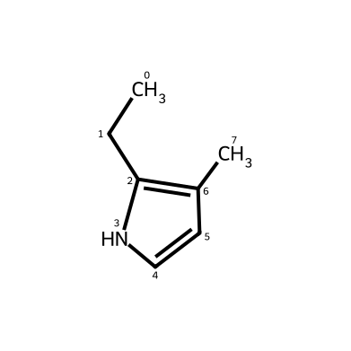 CCc1[nH]ccc1C